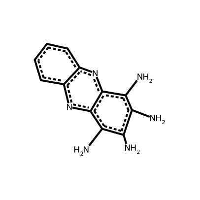 Nc1c(N)c(N)c2nc3ccccc3nc2c1N